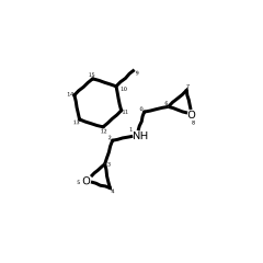 C(NCC1CO1)C1CO1.CC1CCCCC1